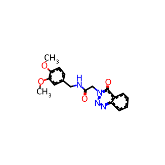 COc1ccc(CNC(=O)Cn2nnc3ccccc3c2=O)cc1OC